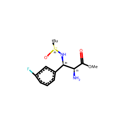 COC(=O)[C@@H](N)[C@H](N[S@@+]([O-])C(C)(C)C)c1cccc(F)c1